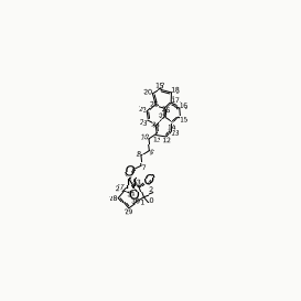 CC1(C)C(=O)N(OCCCCc2ccc3ccc4cccc5ccc2c3c45)C2C=CC1O2